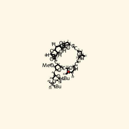 C=C1CC2CC[C@@]34CC5OC6[C@@H](O3)C3O[C@H](CC[C@@H]3O[C@H]6[C@H]5O4)CC(=O)CC3C(C[C@H]4O[C@@H](CC[C@@H]1O2)C[C@@H](C)C4=C)O[C@H](CC(CO[Si](C)(C)C(C)(C)C)O[Si](C)(C)C(C)(C)C)[C@@H]3OC